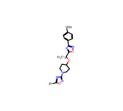 CSc1ccc(-c2noc([C@@H](C)OC3CCN(c4noc(C(C)C)n4)CC3)n2)cc1